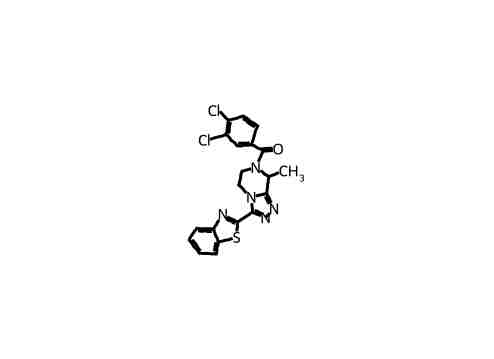 CC1c2nnc(-c3nc4ccccc4s3)n2CCN1C(=O)c1ccc(Cl)c(Cl)c1